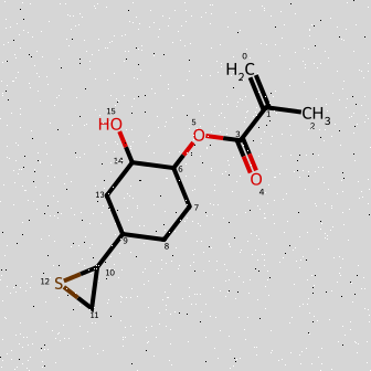 C=C(C)C(=O)OC1CCC(C2CS2)CC1O